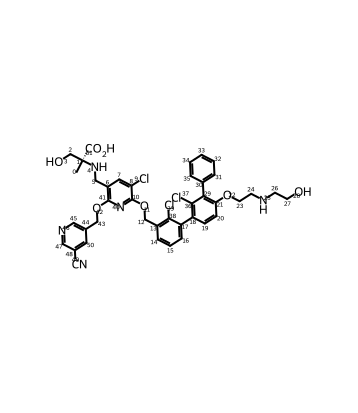 C[C@@](CO)(NCc1cc(Cl)c(OCc2cccc(-c3ccc(OCCNCCO)c(-c4ccccc4)c3Cl)c2Cl)nc1OCc1cncc(C#N)c1)C(=O)O